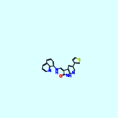 O=C1Nc2ncc(-c3ccsc3)cc2C1=CNc1cccc2cccnc12